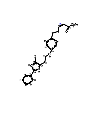 COC(=O)/C=C\CCc1ccc(OCCc2nc(-c3ccccc3)oc2C)cc1